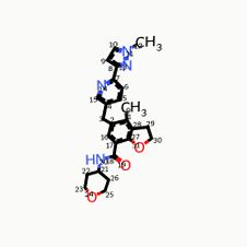 Cc1c(Cc2ccc(-c3ccn(C)n3)nc2)cc(C(=O)NC2CCOCC2)c2c1CCO2